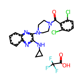 O=C(O)C(F)(F)F.O=C(c1c(Cl)cccc1Cl)N1CCN(c2nc3ccccc3nc2NC2CC2)CC1